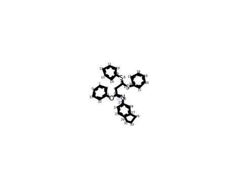 c1ccc(O/C(CC(Sc2ccccc2)Sc2ccccc2)=N\c2ccc3c(c2)CCC3)cc1